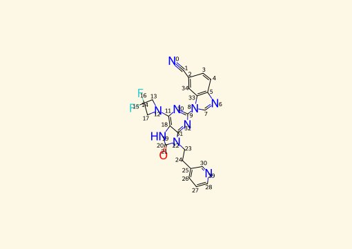 N#Cc1ccc2ncn(-c3nc(N4CC(F)(F)C4)c4[nH]c(=O)n(CCc5cccnc5)c4n3)c2c1